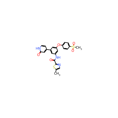 Cc1cnc(C(=O)Nc2cc(Oc3ccc(S(C)(=O)=O)cc3)cc(-c3cc[nH]c(=O)c3)c2)s1